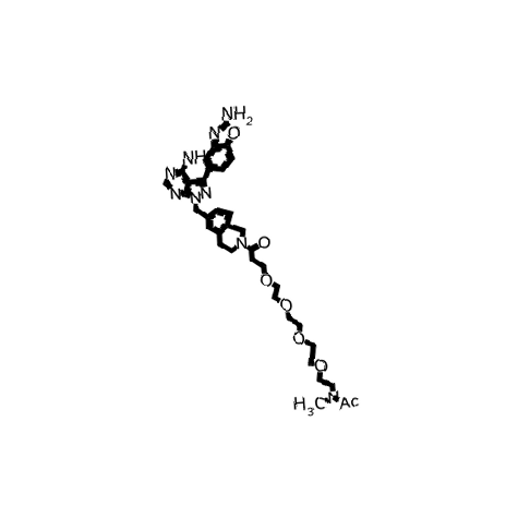 CC(=O)N(C)CCOCCOCCOCCOCCC(=O)N1CCc2cc(Cn3nc(-c4ccc5oc(N)nc5c4)c4c(N)ncnc43)ccc2C1